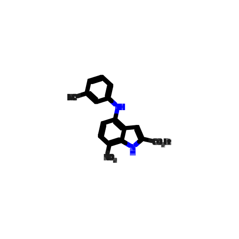 CCOC(=O)c1cc2c(Nc3cccc(C#N)c3)ccc([N+](=O)[O-])c2[nH]1